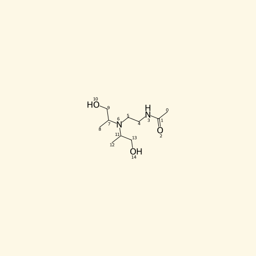 CC(=O)NCCN(C(C)CO)C(C)CO